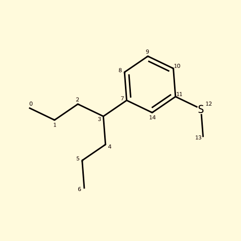 CCCC(CCC)c1cccc(SC)c1